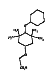 CC1(C)CC(SCC(=O)O)CC(C)(C)N1OC1CCCCC1